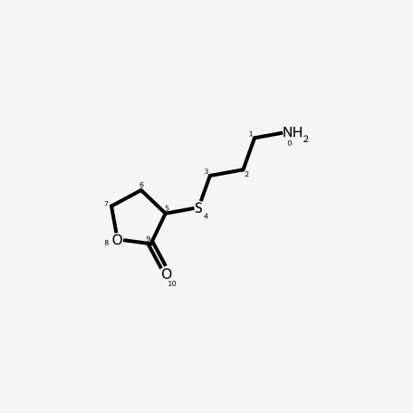 NCCCSC1CCOC1=O